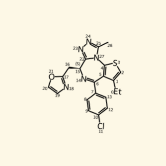 CCc1csc2c1C(c1ccc(Cl)cc1)=N[C@@H](Cc1ncco1)c1nnc(C)n1-2